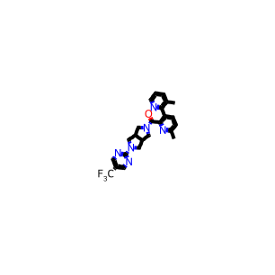 Cc1ccc(-c2ncccc2C)c(C(=O)N2CC3CN(c4ncc(C(F)(F)F)cn4)CC3C2)n1